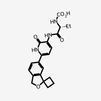 CC[C@@H](NC(=O)O)C(=O)Nc1ccc(-c2ccc3c(c2)C2(CCC2)OC3)[nH]c1=O